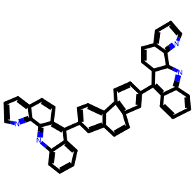 C1=CC2C(c3ccc4c(ccc5cc(-c6c7ccccc7nc7c6ccc6cccnc67)ccc54)c3)=c3ccccc3=NC2c2ncccc21